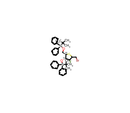 CC(C)(C)[Si](OC[C@H]1SC(CBr)[C@@H](F)[C@@H]1O[Si](c1ccccc1)(c1ccccc1)C(C)(C)C)(c1ccccc1)c1ccccc1